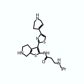 CC(C)NCCC(=O)Nc1sc2c(c1-c1nc(C3=CCNCC3)cs1)CCNC2